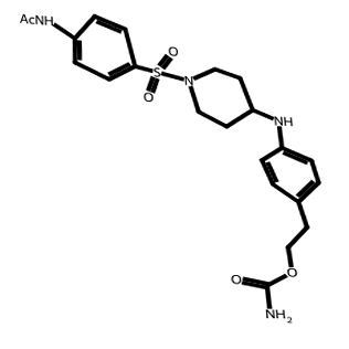 CC(=O)Nc1ccc(S(=O)(=O)N2CCC(Nc3ccc(CCOC(N)=O)cc3)CC2)cc1